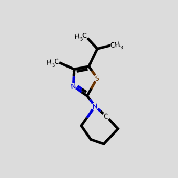 Cc1nc(N2CCCCC2)sc1C(C)C